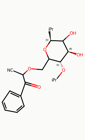 CC(C)O[C@@H]1C(COC(C#N)C(=O)c2ccccc2)O[C@@H](C(C)C)C(O)[C@H]1O